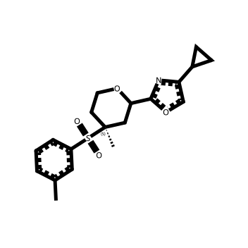 Cc1cccc(S(=O)(=O)[C@@]2(C)CCOC(c3nc(C4CC4)co3)C2)c1